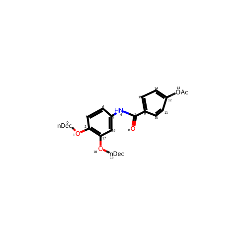 CCCCCCCCCCOc1ccc(NC(=O)c2ccc(OC(C)=O)cc2)cc1OCCCCCCCCCC